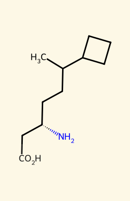 CC(CC[C@H](N)CC(=O)O)C1CCC1